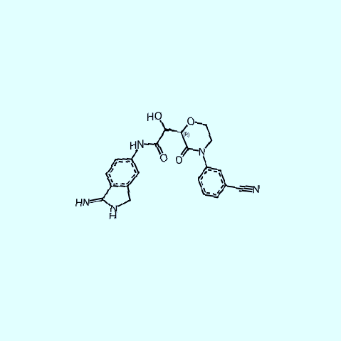 N#Cc1cccc(N2CCO[C@H](C(O)C(=O)Nc3ccc4c(c3)CNC4=N)C2=O)c1